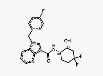 O=C(N[C@H]1CCC(F)(F)C[C@H]1O)c1cn(Cc2ccc(F)cc2)c2cccnc12